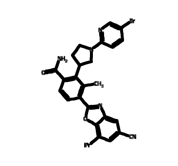 Cc1c(-c2nc3cc(C#N)cc(C(C)C)c3o2)ccc(C(N)=O)c1C1CCN(c2ccc(Br)cn2)C1